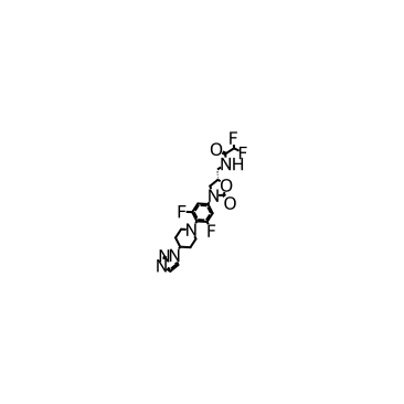 O=C(NC[C@H]1CN(c2cc(F)c(N3CCC(n4ccnn4)CC3)c(F)c2)C(=O)O1)C(F)F